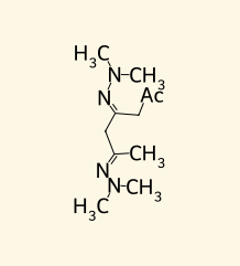 CC(=O)C/C(C/C(C)=N/N(C)C)=N\N(C)C